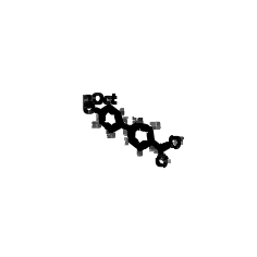 CCCCCCCCOc1ccc(-c2ccc(C([O])=O)cc2)cc1